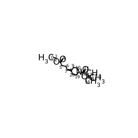 CCOC(=O)CCC=C1CCN(C(=O)OC(C)(C)C)CC1